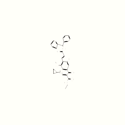 CCOC(=O)c1cn(C2CC2)c2c(OC)c(C=CC(=O)OC(c3ccccc3)c3ccccc3)c(F)cc2c1=O